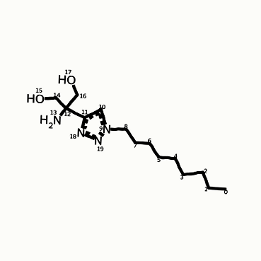 CCCCCCCCCn1cc(C(N)(CO)CO)nn1